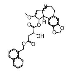 COC1=CC23CCCN2CCc2cc4c(cc2[C@@H]3C1OC(=O)[C@H](O)CC(=O)OCc1cccc2ccccc12)OCO4